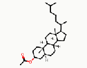 CC(=O)O[C@H]1CC[C@@]2(C)[C@@H](CC[C@@H]3[C@@H]2CC[C@]2(C)[C@@H]([C@H](C)CCCC(C)C)CC[C@@H]32)C1